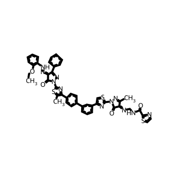 CCOc1ccccc1N/N=C1/C(=O)N(c2nc(-c3ccc(-c4cccc(-c5csc(N6N=C(C)/C(=N\CNC(=O)c7nccs7)C6=O)n5)c4)cc3)c(C)s2)N=C1c1ccccc1